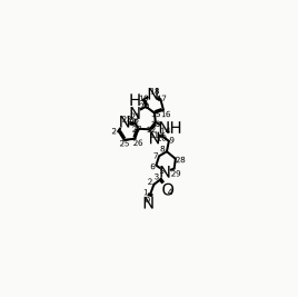 N#CCC(=O)N1CCC(Cc2nc3c([nH]2)-c2ccncc2Nc2ncccc2-3)CC1